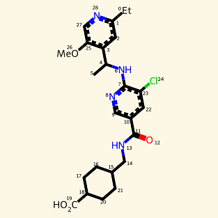 CCc1cc(C(C)Nc2ncc(C(=O)NCC3CCC(C(=O)O)CC3)cc2Cl)c(OC)cn1